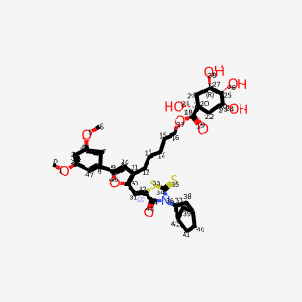 COc1cc(OC)cc(-c2cc(CCCCCOC(=O)[C@]3(O)C[C@@H](O)[C@@H](O)[C@H](O)C3)c(/C=C3\SC(=S)N(C4CC5CCC4C5)C3=O)o2)c1